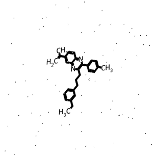 C=C(C)c1ccc2nc(-c3ccc(C)cc3)c(CCCc3cccc(CC)c3)nc2c1